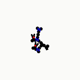 CCCCCCC1(CCCCCC)c2ccccc2-c2ccc(N(c3ccccc3)c3ccc(-c4ccc(C(C)(c5ccc(-c6ccc(N(c7ccc(-c8ccc(-c9ccc(N(c%10ccccc%10)c%10ccccc%10)cc9)cc8)cc7)c7ccc8c(c7)C(CCCCCC)(CCCCCC)c7ccccc7-8)cc6)cc5)c5ccc(-c6cc7c(c8ccccc68)CC7)cc5)cc4)cc3)cc21